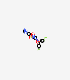 O=S(=O)(c1ccc(-n2cccn2)cc1)N1CCC(=NOC(c2ccc(F)cc2)c2ccc(F)cc2)CC1